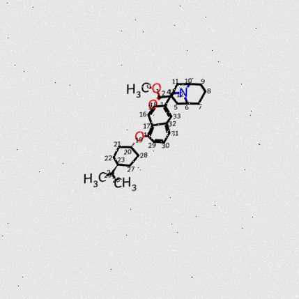 COC(=O)C1CC2CCCC(C1)N2Cc1ccc2c(O[C@H]3CC[C@H](C(C)C)CC3)cccc2c1